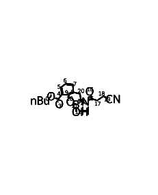 CCCCOC(=O)c1cccc2c1OB(O)[C@@H](NC(=O)CCC#N)C2